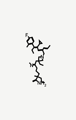 C=C(N)C(C)(CCC)CCC/C(CC1(CC)CN(CC(/C=C/C)=C/C(=C(\CC)c2ccc(F)cc2C)C2CC2)C1)=N/C